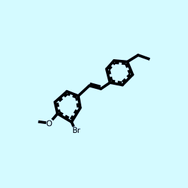 CCc1ccc(/C=C/c2ccc(OC)c(Br)c2)cc1